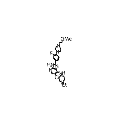 CCN1CCC(Nc2c(Cl)cnc3[nH]c(-c4ccc(N5CCN(CCOC)CC5)c(F)c4)nc23)CC1